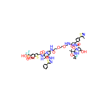 Cc1ncsc1-c1ccc([C@H](CC(=O)NCCOCCOCCC(=O)N[C@@H]2C[C@@H](C(=O)Nc3ncc(-c4ccccc4)s3)N(C(=O)[C@@H](NC(=O)c3cc4cc(C(F)(F)P(=O)(O)O)ccc4s3)C(C)(C)C)C2)NC(=O)[C@@H]2C[C@@H](O)CN2C(=O)[C@@H](NC(=O)C2(F)CC2)C(C)(C)C)cc1